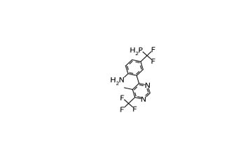 Cc1c(-c2cc(C(F)(F)P)ccc2N)ncnc1C(F)(F)F